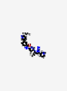 COc1ccc(-c2cccc(C(=O)Nc3ccc(N/C(=C\C(=N)c4cccnc4)C(F)(F)F)nn3)c2)cn1